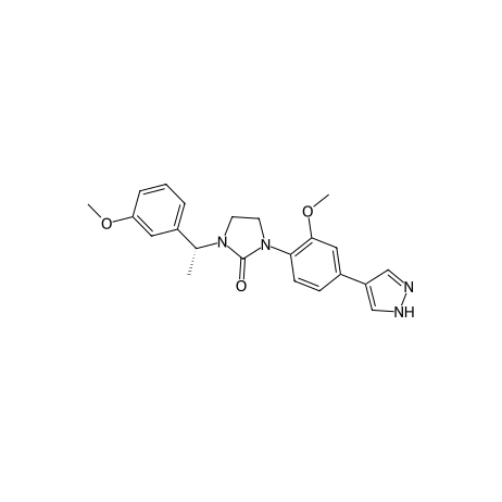 COc1cccc([C@@H](C)N2CCN(c3ccc(-c4cn[nH]c4)cc3OC)C2=O)c1